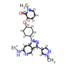 CCNc1cc2c(cn1)c(-c1cnn(C)c1)nn2C1CCC(Oc2cccn(C)c2=O)CC1